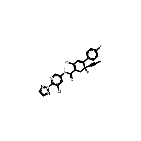 CC#CC1(F)CC(C(=O)Nc2cnc(-n3nccn3)c(Cl)c2)=C(Cl)C=C1c1ccc(F)cc1